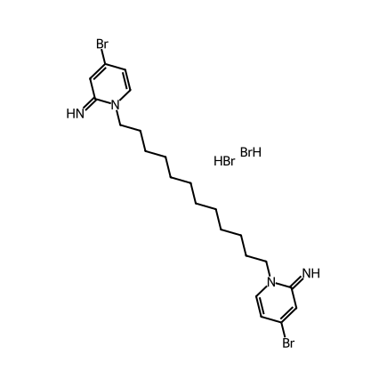 Br.Br.N=c1cc(Br)ccn1CCCCCCCCCCCCn1ccc(Br)cc1=N